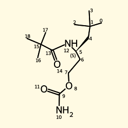 CC(C)(C)C[C@@H](CCOC(N)=O)NC(=O)C(C)(C)C